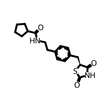 O=C1NC(=O)[C@H](Cc2ccc(CCNC(=O)C3CCCC3)cc2)S1